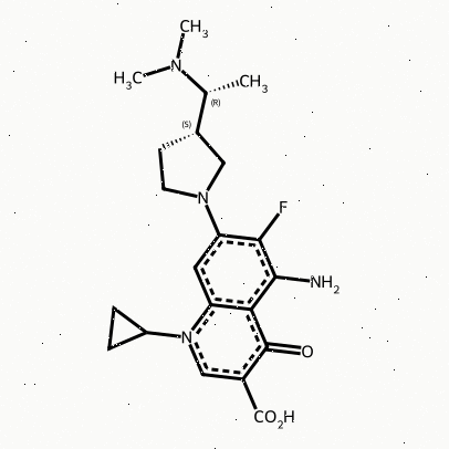 C[C@H]([C@H]1CCN(c2cc3c(c(N)c2F)c(=O)c(C(=O)O)cn3C2CC2)C1)N(C)C